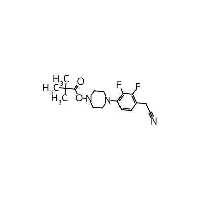 CC(C)(C)C(=O)ON1CCN(c2ccc(CC#N)c(F)c2F)CC1